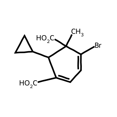 CC1(C(=O)O)C(Br)=CC=C(C(=O)O)C1C1CC1